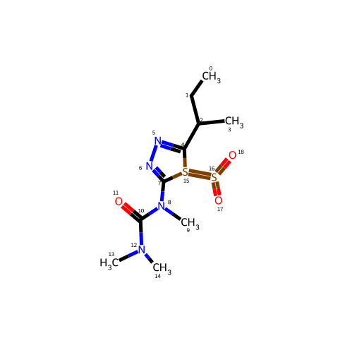 CCC(C)C1=NN=C(N(C)C(=O)N(C)C)S1=S(=O)=O